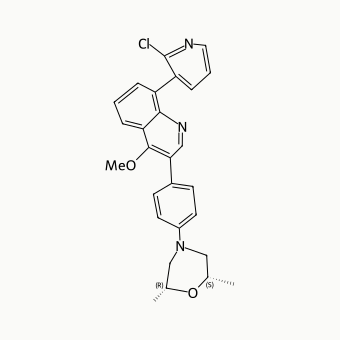 COc1c(-c2ccc(N3C[C@@H](C)O[C@@H](C)C3)cc2)cnc2c(-c3cccnc3Cl)cccc12